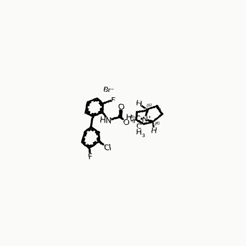 C[N+]1(C)[C@@H]2CC[C@H]1C[C@@H](OC(=O)Nc1c(F)cccc1-c1ccc(F)c(Cl)c1)C2.[Br-]